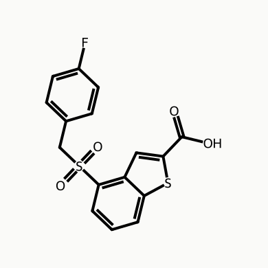 O=C(O)c1cc2c(S(=O)(=O)Cc3ccc(F)cc3)cccc2s1